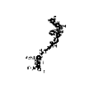 CC(=O)Nc1cc(NCCOCCOCCNC(=O)CN2CCN(c3ccc(C(=O)Nc4n[nH]c5ccc(Cc6cc(F)cc(F)c6)cc45)c(NC4CCOCC4)c3)CC2)ccc1C(=O)Nc1nc(C)c([N+](=O)[O-])s1